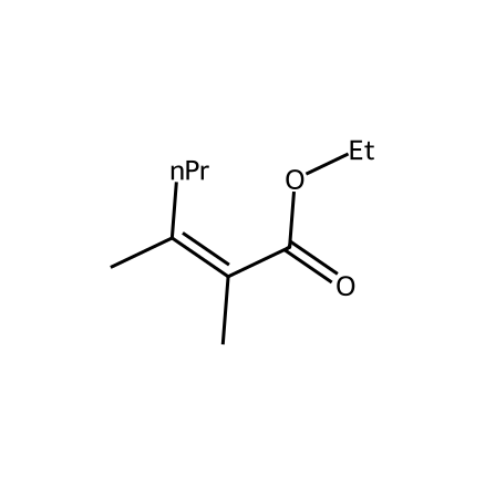 CCCC(C)=C(C)C(=O)OCC